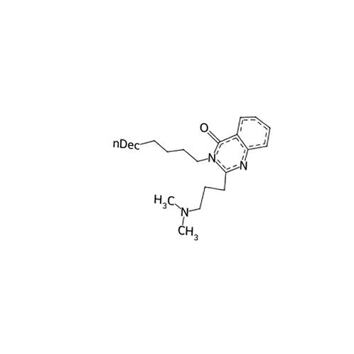 CCCCCCCCCCCCCCn1c(CCCN(C)C)nc2ccccc2c1=O